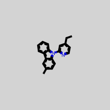 CCc1ccnc(-n2c3ccccc3c3cc(C)ccc32)c1